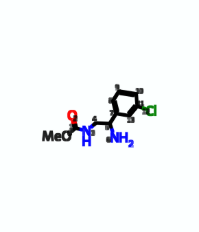 COC(=O)NCC(N)c1cccc(Cl)c1